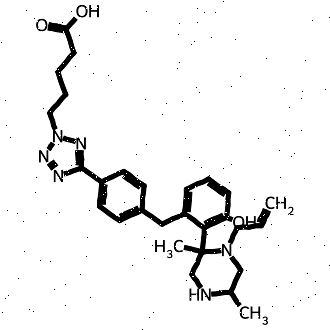 C=CCN1CC(C)NCC1(C)c1c(O)cccc1Cc1ccc(-c2nnn(CCCCC(=O)O)n2)cc1